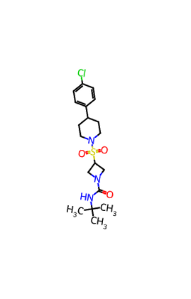 CC(C)(C)NC(=O)N1CC(S(=O)(=O)N2CCC(c3ccc(Cl)cc3)CC2)C1